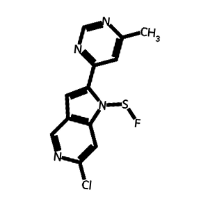 Cc1cc(-c2cc3cnc(Cl)cc3n2SF)ncn1